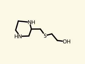 OCCSCC1CNCCN1